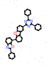 c1ccc(-c2nc(-c3ccccc3)nc(-c3ccc4oc5c(-c6cccc7nc(-c8ccccc8)oc67)cccc5c4c3)n2)cc1